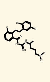 CCN(CC)CCCC(C)NC(=N)NC(=O)c1cccc(F)c1CCc1cc(Cl)ccc1Br